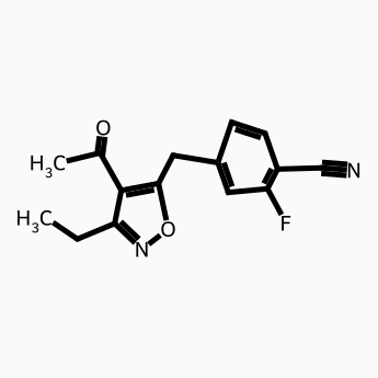 CCc1noc(Cc2ccc(C#N)c(F)c2)c1C(C)=O